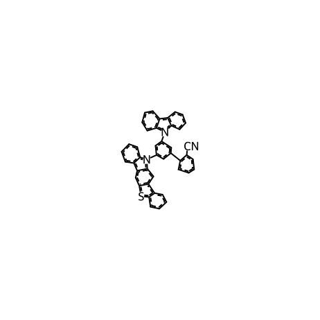 N#Cc1ccccc1-c1cc(-n2c3ccccc3c3ccccc32)cc(-n2c3ccccc3c3cc4sc5ccccc5c4cc32)c1